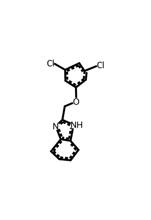 Clc1cc(Cl)cc(OCc2nc3ccccc3[nH]2)c1